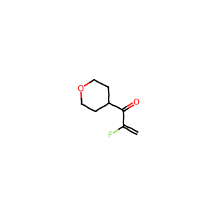 C=C(F)C(=O)C1CCOCC1